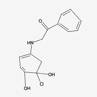 O=C(CNC1=CC=C(O)C(O)(Cl)C1)c1ccccc1